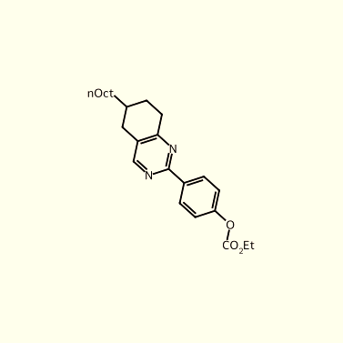 CCCCCCCCC1CCc2nc(-c3ccc(OC(=O)OCC)cc3)ncc2C1